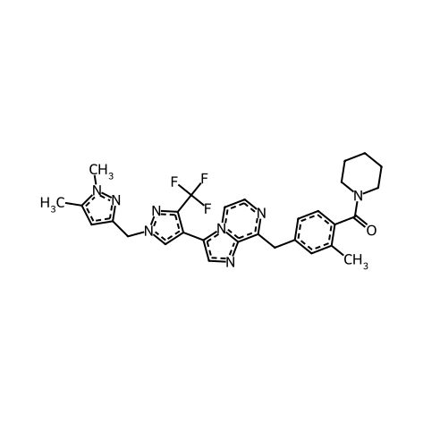 Cc1cc(Cc2nccn3c(-c4cn(Cc5cc(C)n(C)n5)nc4C(F)(F)F)cnc23)ccc1C(=O)N1CCCCC1